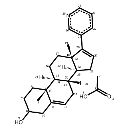 CC(=O)O.C[C@]12CCC(O)CC1=CC[C@@H]1[C@@H]2CC[C@]2(C)C(c3cccnc3)=CC[C@@H]12